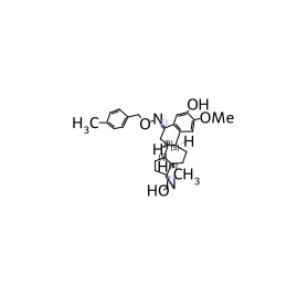 COc1cc2c(cc1O)/C(=N/OCc1ccc(C)cc1)C[C@@H]1[C@@H]2CC[C@]2(C)/C(=N/O)CC[C@@H]12